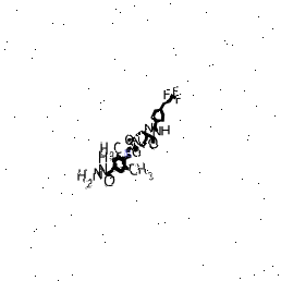 Cc1cc(C(=O)NN)cc(C)c1/C=C/S(=O)(=O)N1CCC2(CC1)N=C(C1CCC(CCC(F)(F)F)CC1)NC2=O